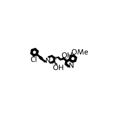 COc1ccc2nccc([C@@H](O)CC[C@@H]3CCN(CC#Cc4ccccc4Cl)C[C@@H]3CO)c2c1